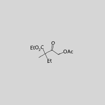 CCOC(=O)C(C)(CC)C(=O)COC(C)=O